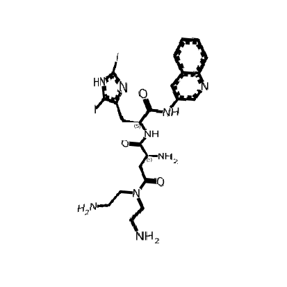 NCCN(CCN)C(=O)C[C@H](N)C(=O)N[C@@H](Cc1nc(I)[nH]c1I)C(=O)Nc1cnc2ccccc2c1